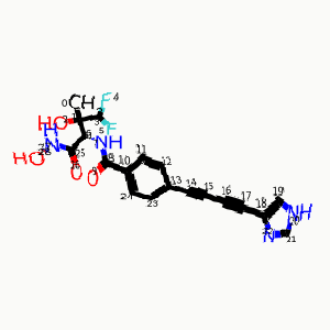 CC(O)(C(F)F)[C@H](NC(=O)c1ccc(C#CC#Cc2c[nH]cn2)cc1)C(=O)NO